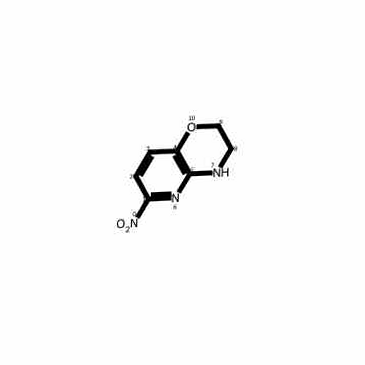 O=[N+]([O-])c1ccc2c(n1)NCCO2